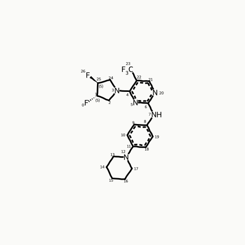 F[C@H]1CN(c2nc(Nc3ccc(N4CCCCC4)cc3)ncc2C(F)(F)F)C[C@@H]1F